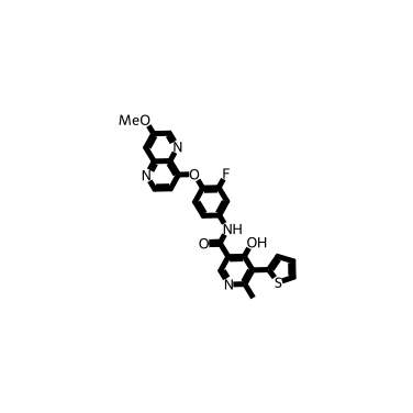 COc1cnc2c(Oc3ccc(NC(=O)c4cnc(C)c(-c5cccs5)c4O)cc3F)ccnc2c1